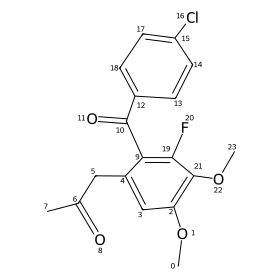 COc1cc(CC(C)=O)c(C(=O)c2ccc(Cl)cc2)c(F)c1OC